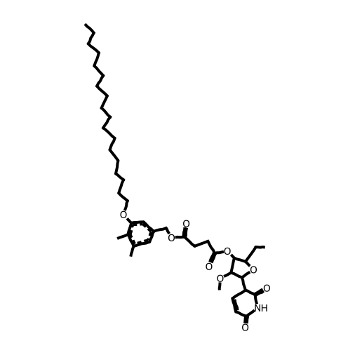 CCCCCCCCCCCCCCCCCCOc1cc(COC(=O)CCC(=O)OC2C(CC)OC(C3C=CC(=O)NC3=O)C2OC)cc(C)c1C